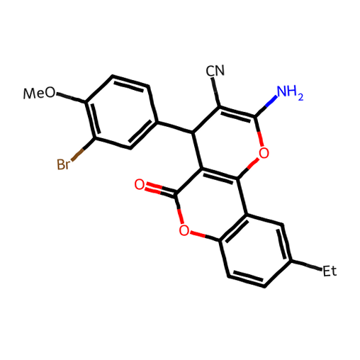 CCc1ccc2oc(=O)c3c(c2c1)OC(N)=C(C#N)C3c1ccc(OC)c(Br)c1